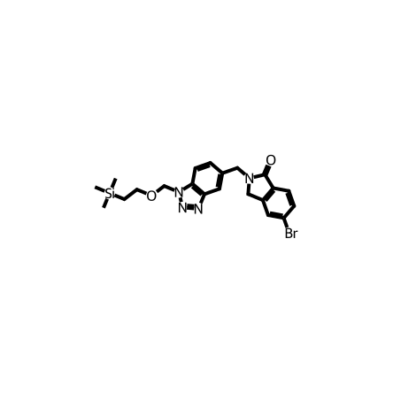 C[Si](C)(C)CCOCn1nnc2cc(CN3Cc4cc(Br)ccc4C3=O)ccc21